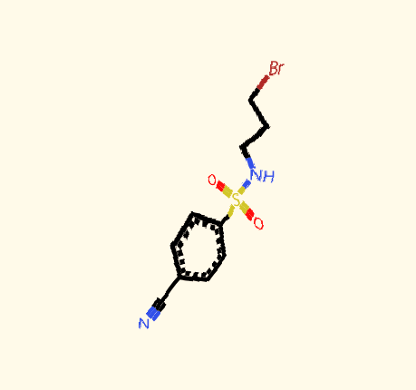 N#Cc1ccc(S(=O)(=O)NCCCBr)cc1